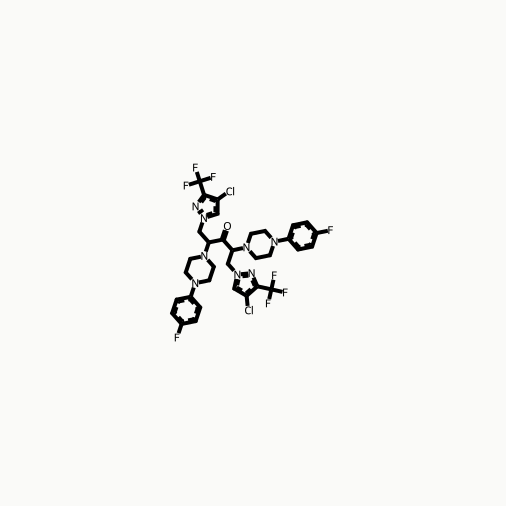 O=C(C(Cn1cc(Cl)c(C(F)(F)F)n1)N1CCN(c2ccc(F)cc2)CC1)C(Cn1cc(Cl)c(C(F)(F)F)n1)N1CCN(c2ccc(F)cc2)CC1